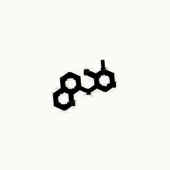 Cn1cncc(Sc2cccc3cccnc23)c1=O